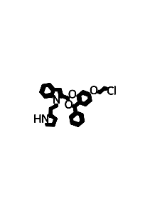 O=C(OC(c1ccccc1)c1ccc(OCCCl)cc1)c1cc2ccccc2n1CCC1CCCN1